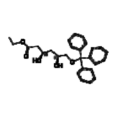 CCOC(=O)C[C@H](O)C[C@H](O)COC(c1ccccc1)(c1ccccc1)c1ccccc1